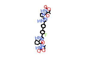 COC(=O)N[C@H](C(=O)N1CCC[C@H]1c1ncc(-c2ccc(-c3ccc(-c4cnc(C5CCCCC5C(=O)N(NC(=O)OC)C(C)C)[nH]4)c(F)c3)cc2)[nH]1)C(C)C